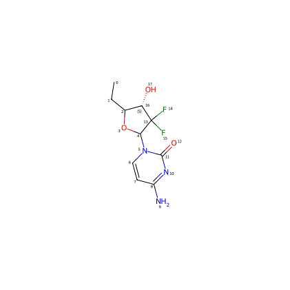 CCC1OC(n2ccc(N)nc2=O)C(F)(F)[C@H]1O